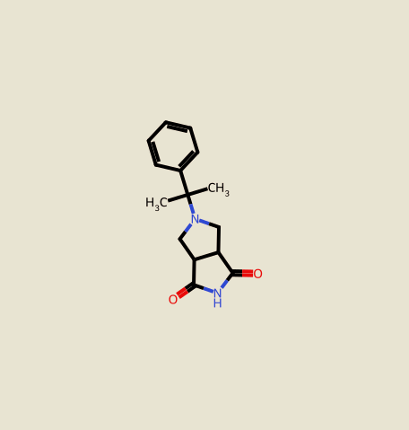 CC(C)(c1ccccc1)N1CC2C(=O)NC(=O)C2C1